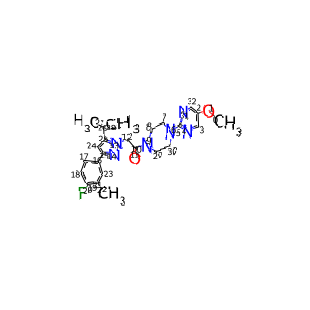 COc1cnc(N2CCN(C(=O)Cn3nc(-c4ccc(F)c(C)c4)cc3C(C)C)CC2)nc1